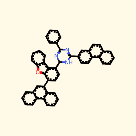 c1ccc(C2=NC(c3ccc(-c4cc5ccccc5c5ccccc45)c4oc5ccccc5c34)NC(c3ccc4c(ccc5ccccc54)c3)=N2)cc1